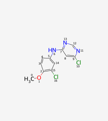 COc1ccc(Nc2cc(Cl)ncn2)cc1Cl